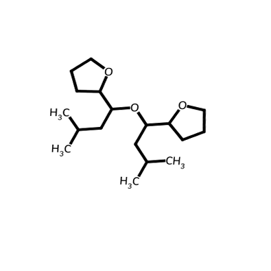 CC(C)CC(OC(CC(C)C)C1CCCO1)C1CCCO1